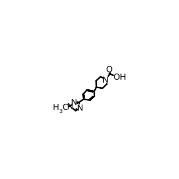 Cn1cnc(-c2ccc(C3CCN(C(=O)O)CC3)cc2)n1